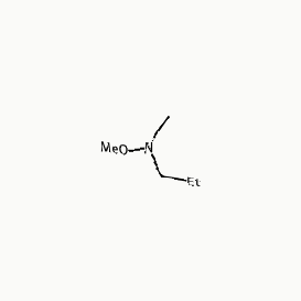 CCCN(C)OC